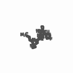 CCCCc1nc(-c2ncc3c(n2)NC(=O)C3(C)c2ccc(F)cc2)cn2ccnc12